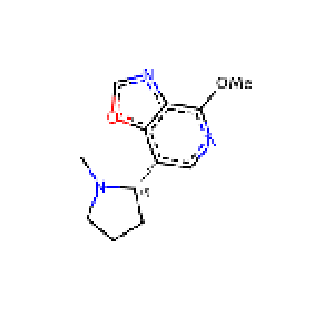 COc1ncc([C@@H]2CCCN2C)c2ocnc12